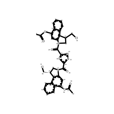 CC(=O)Oc1cc2c(c3ccccc13)C(CCl)CN2C(=O)c1nnc(C(=O)N2C[C@@H](CCl)c3c2cc(OC(C)=O)c2ccccc32)s1